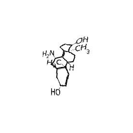 C[C@]12CC[C@H]3C(=C1CC[C@@H]2O)[C@@H](N)CC1C[C@@H](O)C=C[C@@]13C